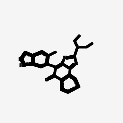 CCN(CC)C1=NC2=C(c3cc4[nH]ncc4cc3C)C(=O)c3ccccc3C2=N1